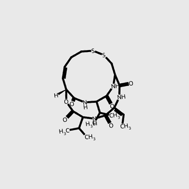 C/C=C1/NC(=O)C2CSSCC/C=C\[C@@H](OC(=O)C(C(C)C)NC1=O)C(=O)NC(C(C)C)C(=O)N2